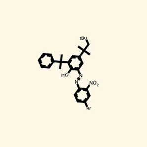 CC(C)(C)CC(C)(C)c1cc(N=Nc2ccc(Br)cc2[N+](=O)[O-])c(O)c(C(C)(C)c2ccccc2)c1